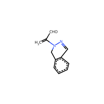 C=C(C=O)N1Cc2ccccc2C=N1